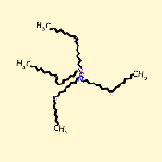 CCCCCCCC/C=C\CCCCCCCCN(CCCCCCCC/C=C\CCCCCCCC)ON(CCCCCCCC/C=C\CCCCCCCC)CCCCCCCC/C=C\CCCCCCCC